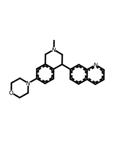 CN1Cc2cc(N3CCOCC3)ccc2C(c2ccc3cccnc3c2)C1